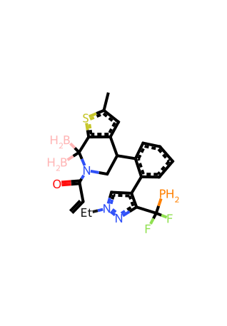 BC1(B)c2sc(C)cc2C(c2ccccc2-c2cn(CC)nc2C(F)(F)P)CN1C(=O)C=C